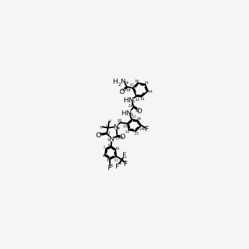 CC1(C)C(=O)N(c2ccc(F)c(C(F)(F)F)c2)C(=O)N1Cc1ccc(F)cc1NC(=O)Nc1ccccc1C(N)=O